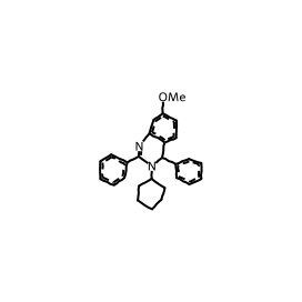 COc1ccc2c(c1)N=C(c1ccccc1)N(C1CCCCC1)C2c1ccccc1